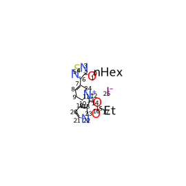 CCCCCCOc1nsnc1C1=CCC[N+](C)(C(OC(=O)CC)c2cccnc2)C1.[I-]